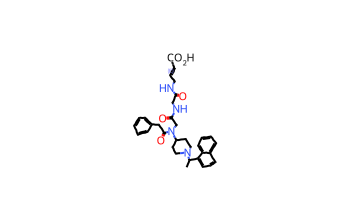 CC(c1cccc2ccccc12)N1CCC(N(CC(=O)NCC(=O)NC/C=C/C(=O)O)C(=O)Cc2ccccc2)CC1